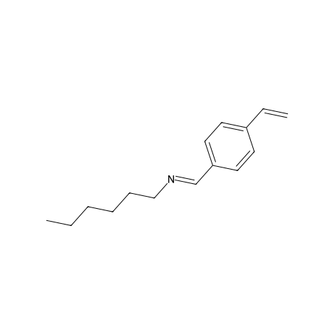 C=Cc1ccc(C=NCCCCCC)cc1